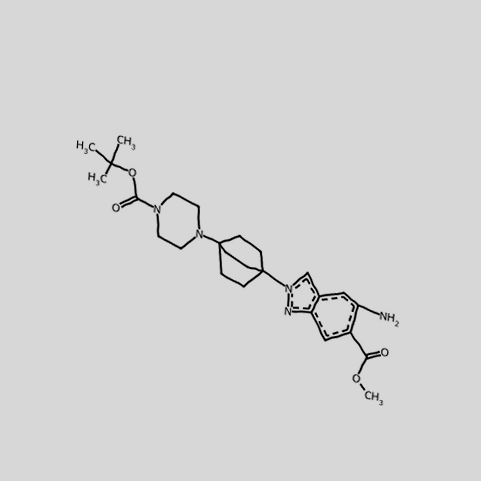 COC(=O)c1cc2nn(C34CCC(N5CCN(C(=O)OC(C)(C)C)CC5)(CC3)CC4)cc2cc1N